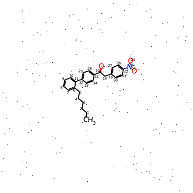 CCCCCCc1ccccc1-c1ccc(C(=O)Cc2ccc([N+](=O)[O-])cc2)cc1